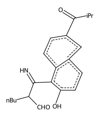 CCCCC(C=O)C(=N)c1c(O)ccc2cc(C(=O)C(C)C)ccc12